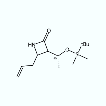 C=CCC1NC(=O)C1[C@@H](C)O[Si](C)(C)C(C)(C)C